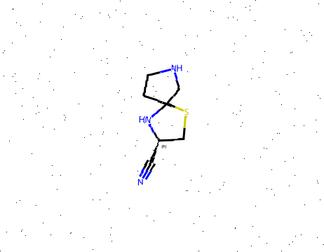 N#C[C@@H]1CSC2(CCNC2)N1